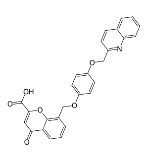 O=C(O)c1cc(=O)c2cccc(COc3ccc(OCc4ccc5ccccc5n4)cc3)c2o1